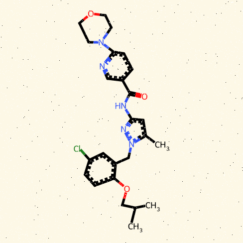 Cc1cc(NC(=O)c2ccc(N3CCOCC3)nc2)nn1Cc1cc(Cl)ccc1OCC(C)C